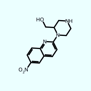 O=[N+]([O-])c1ccc2nc(N3CCNCC3CO)ccc2c1